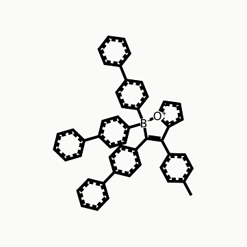 Cc1ccc(C2=C(c3ccc(-c4ccccc4)cc3)[B-](c3ccc(-c4ccccc4)cc3)(c3ccc(-c4ccccc4)cc3)[o+]3cccc32)cc1